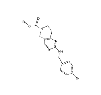 CC(C)(C)OC(=O)N1CCc2nc(NCc3ccc(Br)cc3)ncc2C1